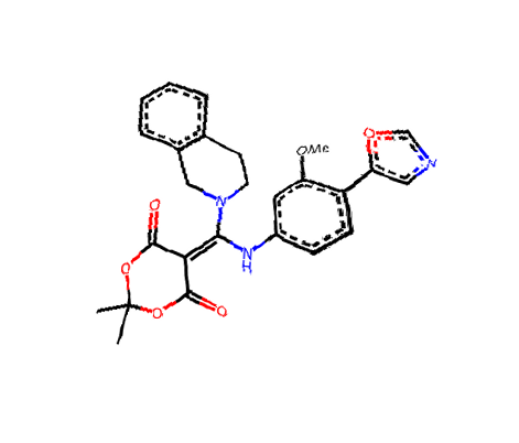 COc1cc(NC(=C2C(=O)OC(C)(C)OC2=O)N2CCc3ccccc3C2)ccc1-c1cnco1